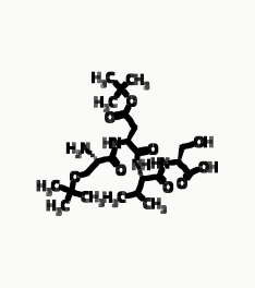 CC(C)[C@H](NC(=O)[C@H](CC(=O)OC(C)(C)C)NC(=O)[C@@H](N)COC(C)(C)C)C(=O)N[C@@H](CO)C(=O)O